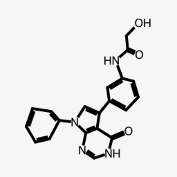 O=C(CO)Nc1cccc(-c2cn(-c3ccccc3)c3nc[nH]c(=O)c23)c1